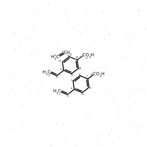 C=C.C=Cc1ccc(C(=O)O)cc1.C=Cc1ccc(C(=O)O)cc1